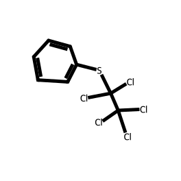 ClC(Cl)(Cl)C(Cl)(Cl)Sc1ccccc1